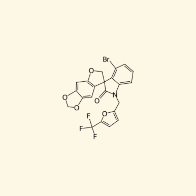 O=C1N(Cc2ccc(C(F)(F)F)o2)c2cccc(Br)c2C12COc1cc3c(cc12)OCO3